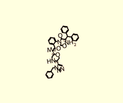 COC(=O)N(C(=O)[C@@H](N)C(c1ccccc1)c1ccccc1)c1ccccc1CC[C@@H]1CN[C@H](c2cnnn2Cc2ccccc2)CO1